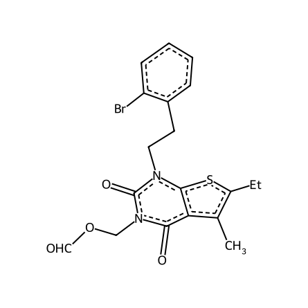 CCc1sc2c(c1C)c(=O)n(COC=O)c(=O)n2CCc1ccccc1Br